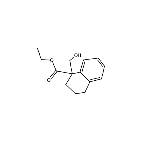 CCOC(=O)C1(CO)CCCc2ccccc21